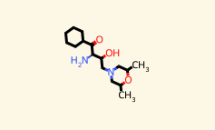 CC1CN(CC(O)[C@@H](N)C(=O)C2CCCCC2)CC(C)O1